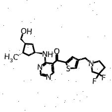 C[C@H]1C[C@H](Nc2ncncc2C(=O)c2cc(CN3CCC(F)(F)C3)cs2)C[C@@H]1CO